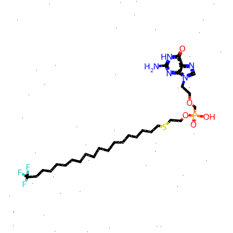 Nc1nc2c(ncn2CCOCP(=O)(O)OCCSCCCCCCCCCCCCCCCCCCC(F)(F)F)c(=O)[nH]1